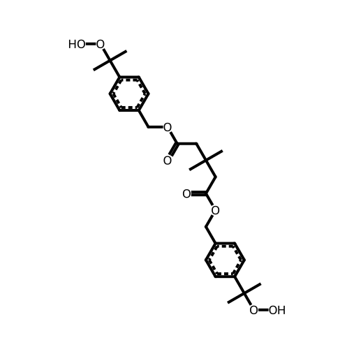 CC(C)(CC(=O)OCc1ccc(C(C)(C)OO)cc1)CC(=O)OCc1ccc(C(C)(C)OO)cc1